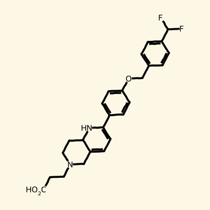 O=C(O)CCN1CCC2NC(c3ccc(OCc4ccc(C(F)F)cc4)cc3)=CC=C2C1